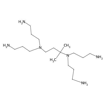 CC(C)(CCN(CCCN)CCCN)N(CCCN)CCCN